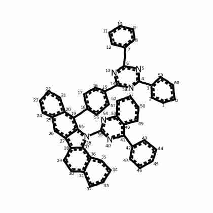 c1ccc(-c2nc(-c3ccccc3)nc(-c3ccc(-c4c5ccccc5cc5c6ccc7ccccc7c6n(-c6nc(-c7ccccc7)c7ccccc7n6)c45)cc3)n2)cc1